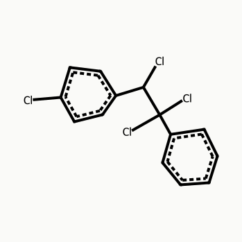 Clc1ccc(C(Cl)C(Cl)(Cl)c2ccccc2)cc1